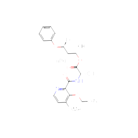 CCCC[C@@H]([C@H](C)OC(=O)[C@H](C)NC(=O)c1nccc(OC)c1OCOC(C)=O)[C@H](CC)Oc1ccccc1